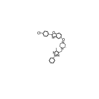 Cc1nn(-c2ccccc2)nc1CN1[CH]CN(Oc2ccc3oc(-c4ccc(Cl)cc4)nc3c2)CC1